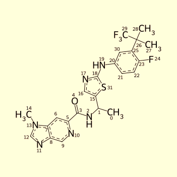 CC(NC(=O)c1cc2c(cn1)ncn2C)c1cnc(Nc2ccc(F)c(C(C)(C)C(F)(F)F)c2)s1